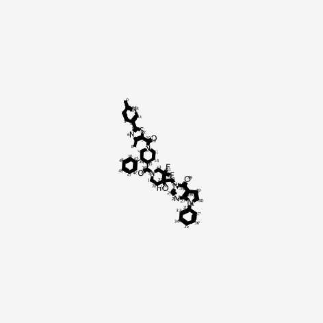 Cc1ccc(-c2nc(C)c(C(=O)N3CC[C@@H](C(=O)N4CCC(O)(Cn5cnc6c(ccn6-c6ccccc6)c5=O)C(F)(F)C4)[C@H](c4ccccc4)C3)s2)cn1